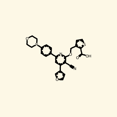 N#Cc1c(-c2ccoc2)cc(-c2ccc(N3CCOCC3)cc2)nc1OCc1ccsc1C(=O)O